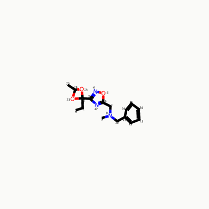 CCC1(c2noc(CN(C)Cc3ccccc3)n2)OC(C)O1